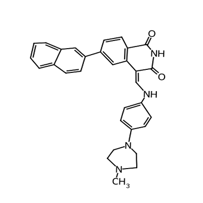 CN1CCN(c2ccc(NC=C3C(=O)NC(=O)c4ccc(-c5ccc6ccccc6c5)cc43)cc2)CC1